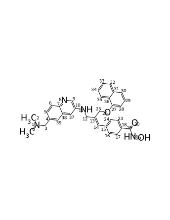 CN(C)Cc1ccc2ncc(NCC(=Cc3ccc(C(=O)NO)cc3)COc3cccc4ccccc34)cc2c1